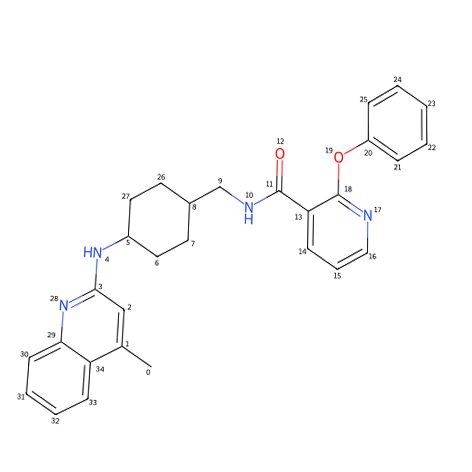 Cc1cc(NC2CCC(CNC(=O)c3cccnc3Oc3ccccc3)CC2)nc2ccccc12